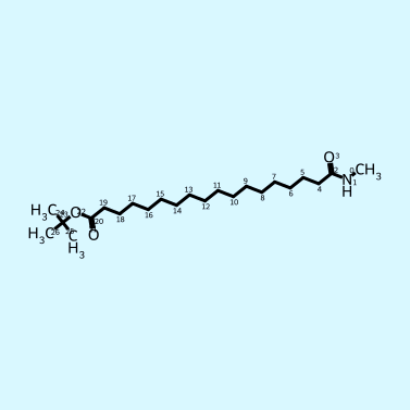 CNC(=O)CCCCCCCCCCCCCCCCC(=O)OC(C)(C)C